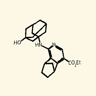 CCOC(=O)c1cnc(NC23CC4CC(CC(O)(C4)C2)C3)c2c1C1CCC2C1